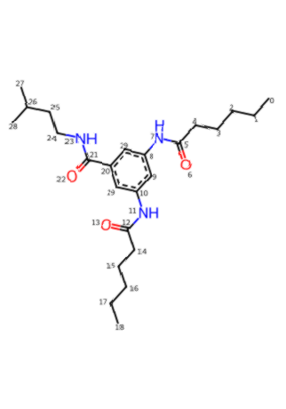 CCCCCC(=O)Nc1cc(NC(=O)CCCCC)cc(C(=O)NCCC(C)C)c1